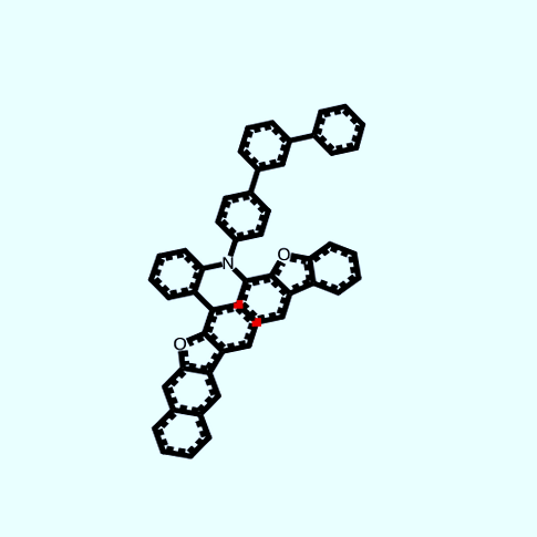 c1ccc(-c2cccc(-c3ccc(N(c4ccccc4-c4cccc5c4oc4cc6ccccc6cc45)c4cccc5c4oc4ccccc45)cc3)c2)cc1